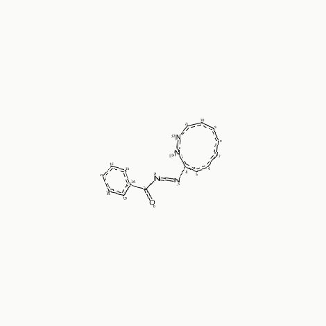 O=C(N=Nc1cccccccnn1)c1ccccc1